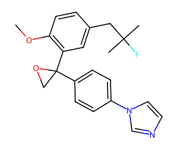 COc1ccc(CC(C)(C)F)cc1C1(c2ccc(-n3ccnc3)cc2)CO1